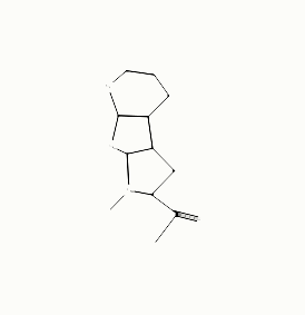 CC(=O)C1CC2C3CCCNC3NC2N1C